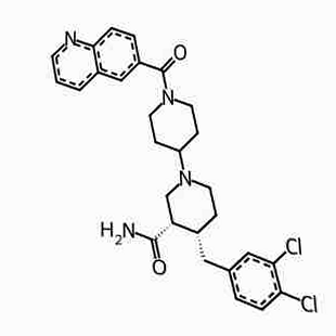 NC(=O)[C@@H]1CN(C2CCN(C(=O)c3ccc4ncccc4c3)CC2)CC[C@@H]1Cc1ccc(Cl)c(Cl)c1